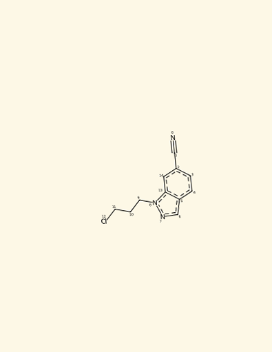 N#Cc1ccc2cnn(CCCCl)c2c1